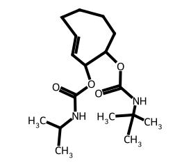 CC(C)NC(=O)OC1/C=C/CCCCC1OC(=O)NC(C)(C)C